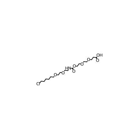 O=C(O)CCOCCOCCOC(=O)NCCOCCOCCCCCCCl